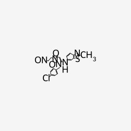 Cc1nc2ccc(Nc3cc(=O)n(CCN=O)c(=O)n3Cc3ccc(Cl)cc3)cc2s1